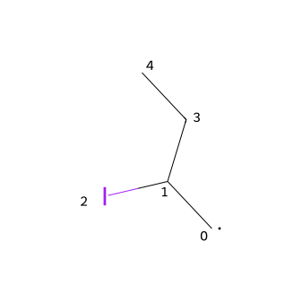 [CH2]C(I)CC